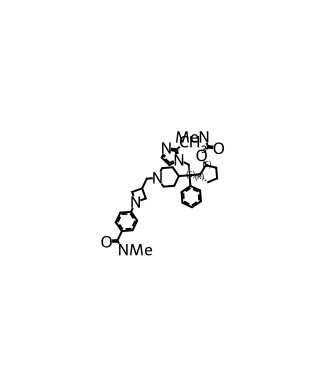 CNC(=O)O[C@H]1CCC[C@@H]1[C@](Cn1ccnc1C)(c1ccccc1)C1CCN(CC2CN(c3ccc(C(=O)NC)cc3)C2)CC1